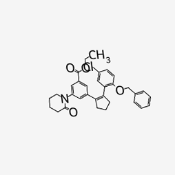 CCOC(=O)c1cc(C2=C(c3cc(Cl)ccc3OCc3ccccc3)CCC2)cc(N2CCCCC2=O)c1